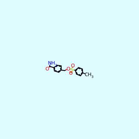 Cc1ccc(S(=O)(=O)OCc2ccc(C(N)=O)cc2)cc1